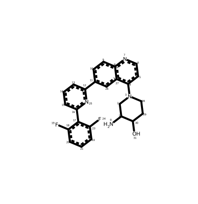 NC1CN(c2ccnc3ccc(-c4cccc(-c5c(F)cccc5F)n4)cc23)CCC1O